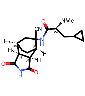 CN[C@@H](CC1CC1)C(=O)NC1(C#N)C[C@H]2CC[C@@H]1[C@H]1C(=O)NC(=O)[C@@H]21